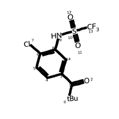 CC(C)(C)C(=O)c1ccc(Cl)c(NS(=O)(=O)C(F)(F)F)c1